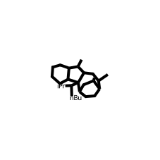 CCCCC(C(C)C)C12C3CCC(C(C)C3)C(C)CC1C(C)C1CCCCC12